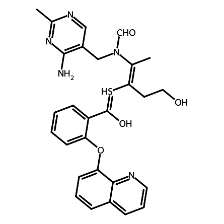 C/C(=C(CCO)/[SH]=C(\O)c1ccccc1Oc1cccc2cccnc12)N(C=O)Cc1cnc(C)nc1N